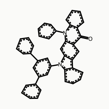 O=c1c2ccccc2n(-c2ccccc2)c2cc3c(cc12)c1ccccc1n3-c1cc(-c2ccccc2)cc(-c2ccccc2)c1